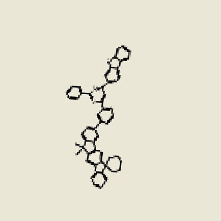 CC1(C)c2ccc(-c3cccc(-c4cc(-c5ccc6c(c5)oc5ccccc56)nc(-c5ccccc5)n4)c3)cc2-c2cc3c(cc21)-c1ccccc1C31CCCCC1